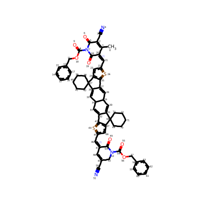 CC1=C(C#N)C(=O)N(C(=O)OCc2ccccc2)C(=O)/C1=C\c1cc2c(s1)C1=CC3C=C4C(=CC3C=C1C21CCCCC1)c1sc(/C=C2/C=C(C#N)CN(C(=O)OCc3ccccc3)C2=O)cc1C41CCCCC1